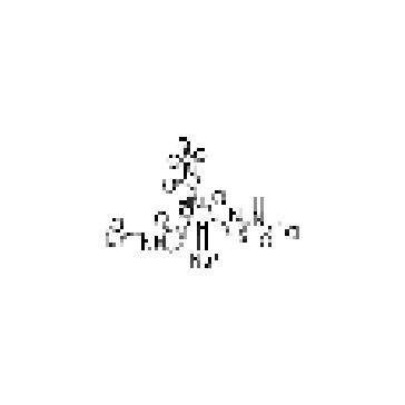 O=C(CCl)Nc1nc(C(NC(=O)N2CCN(N=Cc3ccco3)C2=O)C(=O)NC2CN(S(=O)(=O)[O-])C2=O)cs1.[Na+]